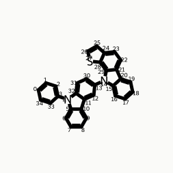 c1ccc(-n2c3ccccc3c3cc(-n4c5ccccc5c5ccc6ccsc6c54)ccc32)cc1